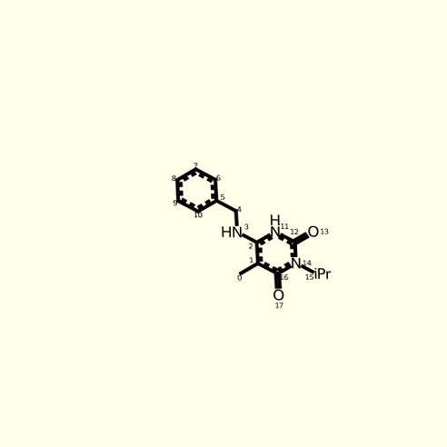 Cc1c(NCc2ccccc2)[nH]c(=O)n(C(C)C)c1=O